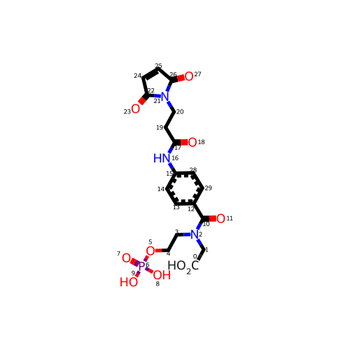 O=C(O)CN(CCOP(=O)(O)O)C(=O)c1ccc(NC(=O)CCN2C(=O)C=CC2=O)cc1